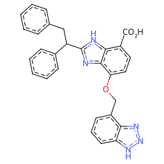 O=C(O)c1ccc(OCc2cccc3[nH]nnc23)c2nc(C(Cc3ccccc3)c3ccccc3)[nH]c12